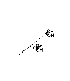 CCCCCCCCC=CCCCCCCCCCCN(O)O.CC[N+]([O-])(O)O